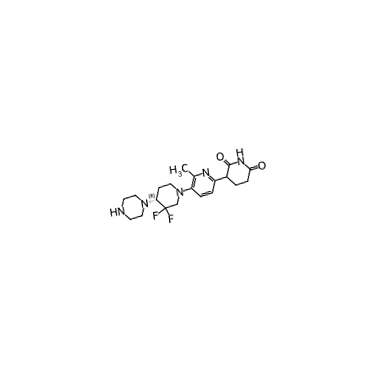 Cc1nc(C2CCC(=O)NC2=O)ccc1N1CC[C@@H](N2CCNCC2)C(F)(F)C1